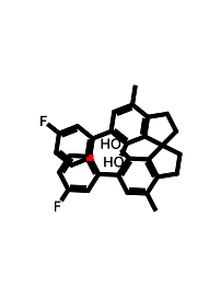 Cc1cc(-c2cccc(F)c2)c(O)c2c1CCC21CCc2c(C)cc(-c3cccc(F)c3)c(O)c21